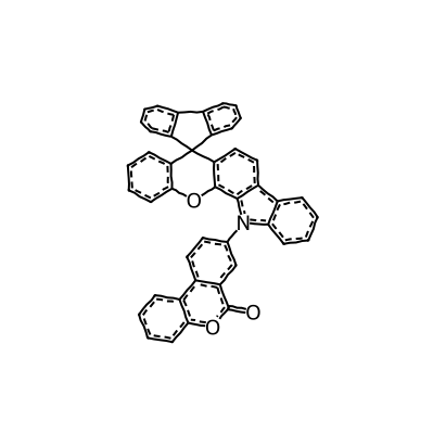 O=c1oc2ccccc2c2ccc(-n3c4ccccc4c4ccc5c(c43)Oc3ccccc3C53c4ccccc4-c4ccccc43)cc12